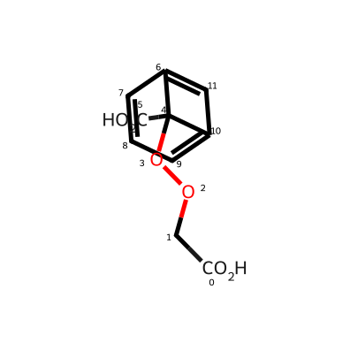 O=C(O)COOC1(C(=O)O)c2cccc1c2